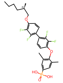 CCCC[C@@H](C)COc1ccc(-c2ccc(Oc3c(C)cc(P(=O)(O)O)cc3C)c(F)c2F)c(F)c1F